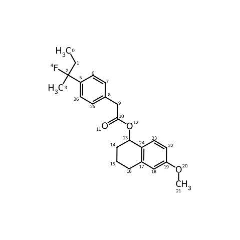 CCC(C)(F)c1ccc(CC(=O)OC2CCCc3cc(OC)ccc32)cc1